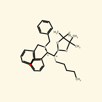 CCCCC[C@@H](B1OC(C)(C)C(C)(C)O1)[C@@H](c1ccccc1)N(Cc1ccccc1)Cc1ccccc1